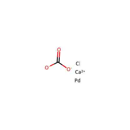 O=C([O-])[O-].[C].[Ca+2].[Pd]